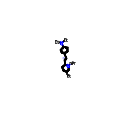 CCC[n+]1cc(CC)ccc1/C=C/c1ccc(N(CC)CC)cc1